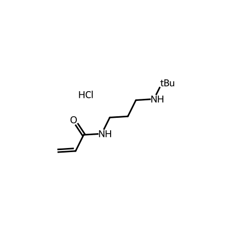 C=CC(=O)NCCCNC(C)(C)C.Cl